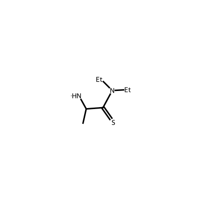 CCN(CC)C(=S)C(C)[NH]